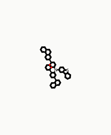 c1ccc(-c2ccc(-c3cccc4ccccc34)cc2N(c2ccc(-c3ccc4c(ccc5ccccc54)c3)cc2)c2ccc3sc4ccccc4c3c2)cc1